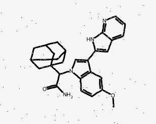 COc1ccc2c(c1)c(-c1cc3cccnc3[nH]1)cn2C(C(N)=O)C12CC3CC(CC(C3)C1)C2